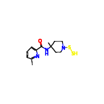 Cc1cccc(C(=O)NC2(C)CCN(SS)CC2)n1